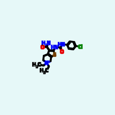 CC[N+]1(CC)CCc2c(sc(NC(=O)Nc3ccc(Cl)cc3)c2C(N)=O)C1